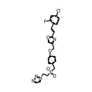 O=S(=O)(CCn1ccnn1)Cc1ccc(OCc2coc(/C=C/c3ccc(Cl)cc3F)n2)cc1